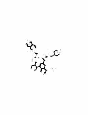 COc1cncc2c(C3CN(C)CCC3C(=O)Nc3ncc(-n4ccc5cnccc5c4=O)s3)cc(-c3cnc(NC(O)C4CCN(C)CC4)s3)cc12